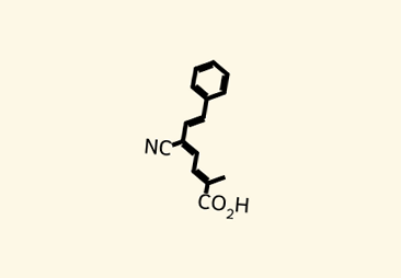 CC(=CC=C(C#N)C=Cc1ccccc1)C(=O)O